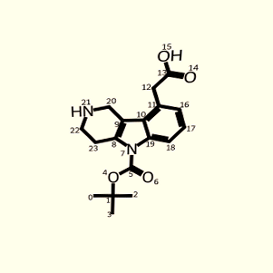 CC(C)(C)OC(=O)n1c2c(c3c(CC(=O)O)cccc31)CNCC2